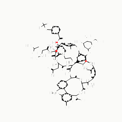 CN[C@H](CC(C)C)C(=O)N[C@H]1C(=O)N[C@@H](CC(N)=O)C(=O)NC2C(=O)NC3C(=O)N[C@H](C(=O)N[C@@H](C(=O)O)c4cc(O)cc(O)c4-c4cc3ccc4O)[C@H](O)c3ccc(c(Cl)c3)Oc3cc2cc(c3OC2O[C@H](CO)[C@@H](O)[C@H](O)[C@H]2O[C@H]2C[C@](C)(NCCn3ccc(NC(=O)c4cccc(SC(F)(F)F)c4)nc3=O)[C@H](O)[C@H](C)O2)Oc2ccc(cc2Cl)[C@H]1O